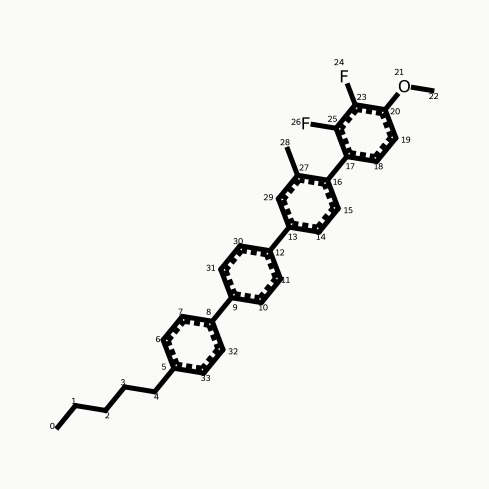 CCCCCc1ccc(-c2ccc(-c3ccc(-c4ccc(OC)c(F)c4F)c(C)c3)cc2)cc1